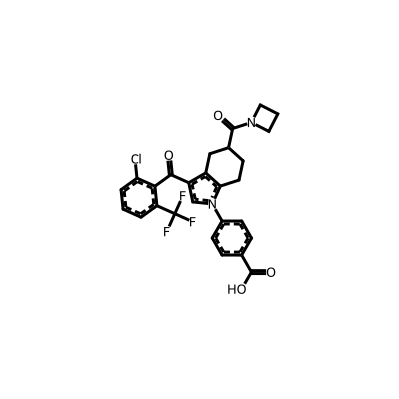 O=C(O)c1ccc(-n2cc(C(=O)c3c(Cl)cccc3C(F)(F)F)c3c2CCC(C(=O)N2CCC2)C3)cc1